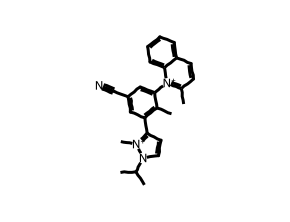 Cc1c(-c2ccn(C(C)C)[n+]2C)cc(C#N)cc1-[n+]1c(C)ccc2ccccc21